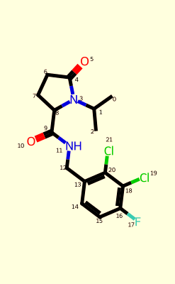 CC(C)N1C(=O)CCC1C(=O)NCc1ccc(F)c(Cl)c1Cl